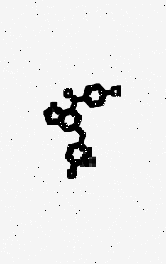 O=C(c1ccc(Cl)cc1)c1cc(Cc2ccc(=O)[nH]n2)cc2ccsc12